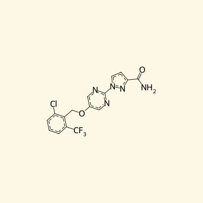 NC(=O)c1ccn(-c2ncc(OCc3c(Cl)cccc3C(F)(F)F)cn2)n1